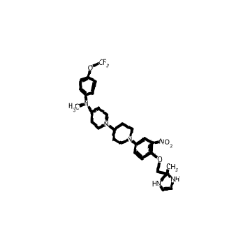 CN(c1ccc(OC(F)(F)F)cc1)C1CCN(C2CCN(c3ccc(OCC4(C)NC=CN4)c([N+](=O)[O-])c3)CC2)CC1